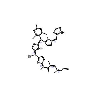 C=C/C=C(C)\C=C(\C)C(=C)/C(C)=C1\C=CC(C(/Br)=c2/cc/c(=C(C3=N/C(=C\c4ccc[nH]4)C=C3)\c3c(C)cc(C)cc3C)[nH]2)=N1